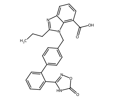 CCCc1nc2cccc(C(=O)O)c2n1Cc1ccc(-c2ccccc2-c2noc(=O)[nH]2)cc1